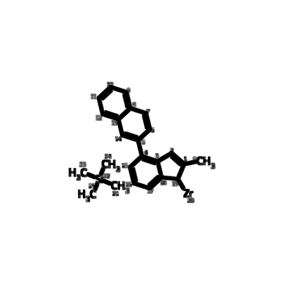 CC1=Cc2c(-c3ccc4ccccc4c3)cccc2[CH]1[Zr].C[Si](C)(C)C